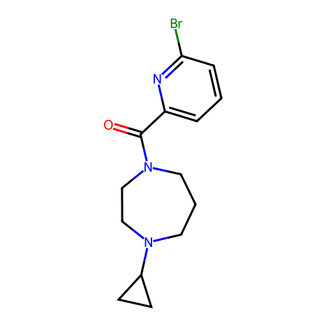 O=C(c1cccc(Br)n1)N1CCCN(C2CC2)CC1